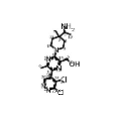 Cc1nc(N2CCC(C)(C(C)N)CC2)c(CO)nc1-c1cnnc(Cl)c1Cl